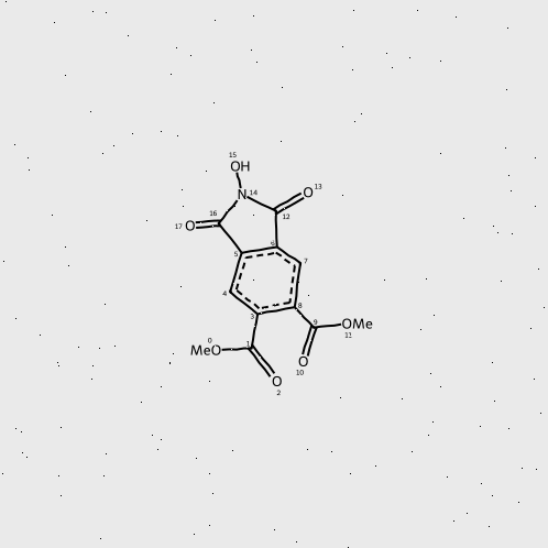 COC(=O)c1cc2c(cc1C(=O)OC)C(=O)N(O)C2=O